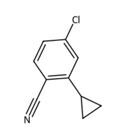 N#Cc1ccc(Cl)cc1C1CC1